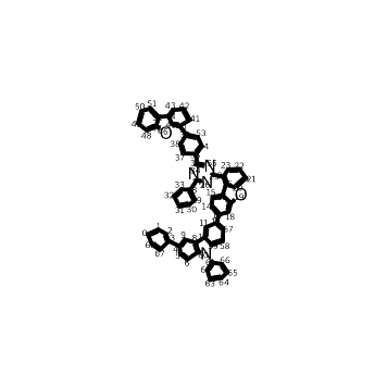 c1ccc(-c2ccc3c(c2)c2cc(-c4ccc5c(c4)oc4cccc(-c6nc(-c7ccccc7)nc(-c7ccc(-c8cccc9c8oc8ccccc89)cc7)n6)c45)ccc2n3-c2ccccc2)cc1